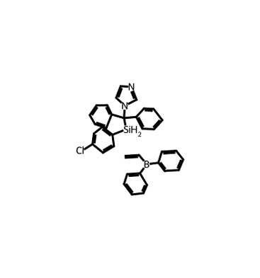 C=CB(c1ccccc1)c1ccccc1.Clc1ccc([SiH2]C(c2ccccc2)(c2ccccc2)n2ccnc2)cc1